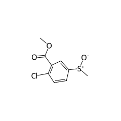 COC(=O)c1cc([S+](C)[O-])ccc1Cl